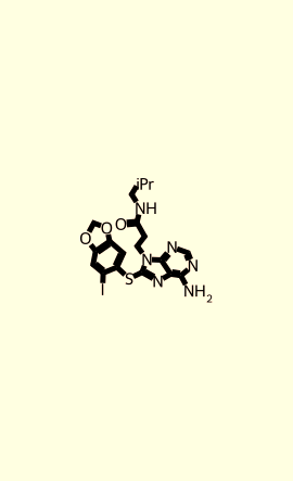 CC(C)CNC(=O)CCn1c(Sc2cc3c(cc2I)OCO3)nc2c(N)ncnc21